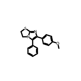 COc1ccc(-c2nc3n(c2-c2ccccc2)CCS3)cc1